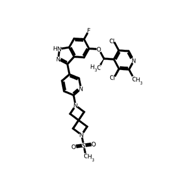 Cc1ncc(Cl)c([C@@H](C)Oc2cc3c(-c4ccc(N5CC6(C5)CN(S(C)(=O)=O)C6)nc4)n[nH]c3cc2F)c1Cl